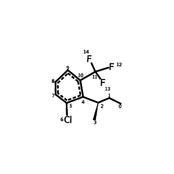 CC[C@@H](C)c1c(Cl)cccc1C(F)(F)F